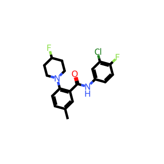 Cc1ccc(N2CCC(F)CC2)c(C(=O)Nc2ccc(F)c(Cl)c2)c1